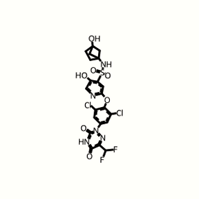 O=c1[nH]c(=O)n(-c2cc(Cl)c(Oc3cc(S(=O)(=O)NC45CCC(O)(C4)C5)c(O)cn3)c(Cl)c2)nc1C(F)F